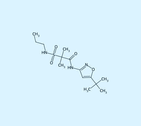 CCCNS(=O)(=O)C(C)(C)C(=O)Nc1cc(C(C)(C)C)on1